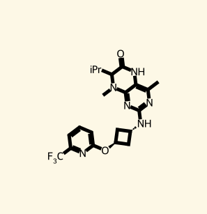 Cc1nc(N[C@H]2C[C@H](Oc3cccc(C(F)(F)F)n3)C2)nc2c1NC(=O)C(C(C)C)N2C